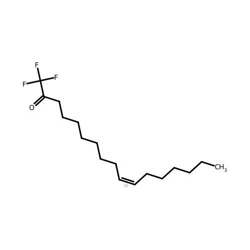 CCCCCC/C=C\CCCCCCCC(=O)C(F)(F)F